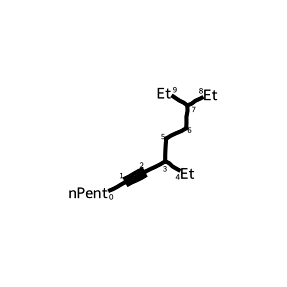 [CH2]CCCCC#CC(CC)CCC(C[CH2])CC